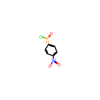 O=[N+]([O-])c1ccc([PH](=O)Cl)cc1